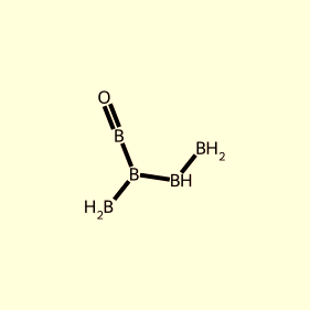 BBB(B)B=O